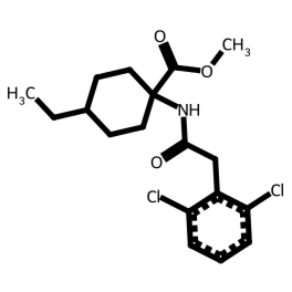 CCC1CCC(NC(=O)Cc2c(Cl)cccc2Cl)(C(=O)OC)CC1